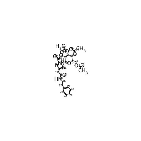 CC(=O)OCC1OC(n2nnc(CC(=O)NCCc3ccccc3)n2)C(OC(C)=O)C(OC(C)=O)C1OC(C)=O